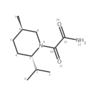 CC(C)[C@@H]1CC[C@@H](C)CN1C(=O)C(N)=O